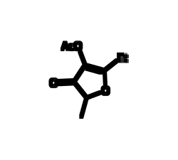 CCC1=C(OC(C)=O)C(=O)C(C)O1